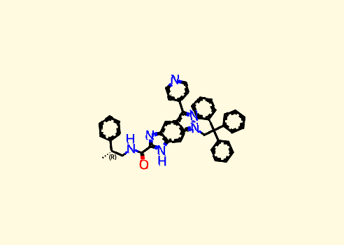 C[C@@H](CNC(=O)c1nc2cc3c(-c4ccncc4)nn(CC(c4ccccc4)(c4ccccc4)c4ccccc4)c3cc2[nH]1)c1ccccc1